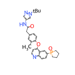 Cc1cc(CC(=O)Nc2cnn(C(C)(C)C)c2)ccc1Oc1ccnc2ccc(P3(=O)CCCC3)cc12